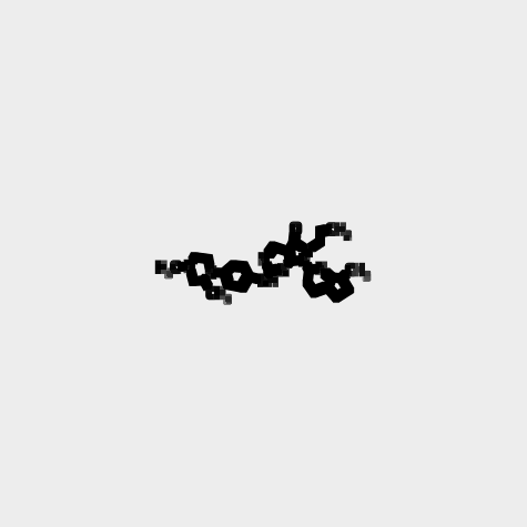 C=CCn1c(=O)c2cnc(Nc3ccc(N4CCN(C)CC4C)cc3)nc2n1C1CC=C2CCC(C)C2=N1